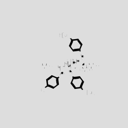 COP(N=P(NP(OC)Oc1ccc(C(C)(C)C)cc1)(OC)Oc1ccc(C(C)(C)C)cc1)Oc1ccc(C(C)(C)C)cc1